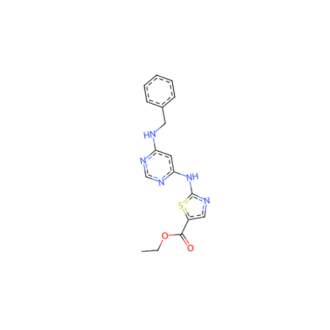 CCOC(=O)c1cnc(Nc2cc(NCc3ccccc3)ncn2)s1